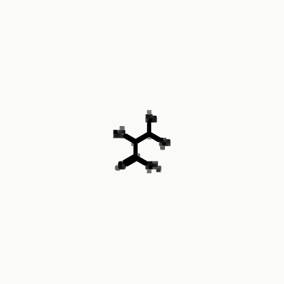 N#CC(C(N)=O)[CH]([Na])[Na]